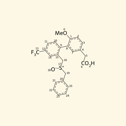 COc1ccc(CC(=O)O)cc1-c1ccc(C(F)(F)F)cc1C[S+]([O-])Cc1ccccc1